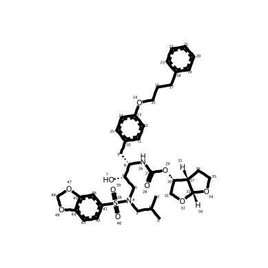 CC(C)CN(C[C@H](O)[C@H](Cc1ccc(OCCCc2ccccc2)cc1)NC(=O)O[C@H]1CO[C@H]2OCC[C@H]21)S(=O)(=O)c1ccc2c(c1)OCO2